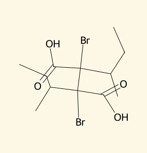 CCC(C)C(Br)(C(=O)O)C(Br)(C(=O)O)C(C)CC